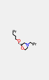 CC(C)CCCOC[C@@H]1CN(CC(C)C)CCO1